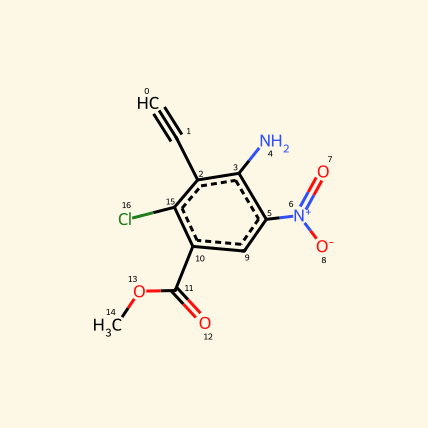 C#Cc1c(N)c([N+](=O)[O-])cc(C(=O)OC)c1Cl